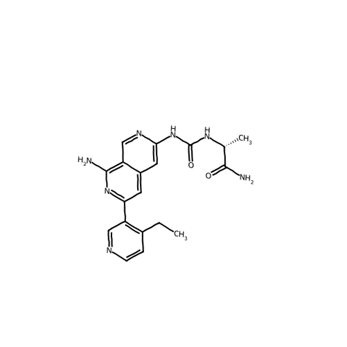 CCc1ccncc1-c1cc2cc(NC(=O)N[C@H](C)C(N)=O)ncc2c(N)n1